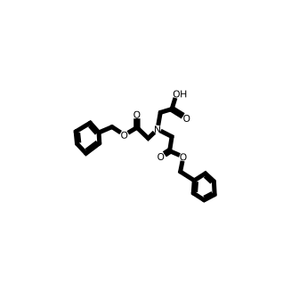 O=C(O)CN(CC(=O)OCc1ccccc1)CC(=O)OCc1ccccc1